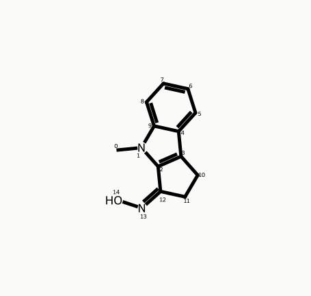 Cn1c2c(c3ccccc31)CCC2=NO